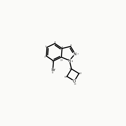 Brc1cccc2cnn(C3COC3)c12